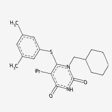 Cc1cc(C)cc(Sc2c(C(C)C)c(=O)[nH]c(=O)n2CC2CCCCC2)c1